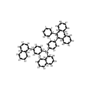 c1ccc(-c2c(-c3ccc(N(c4ccc(-c5cccc6ccccc56)cc4)c4cccc5ccccc45)cc3)c3ccccc3c3ccccc23)cc1